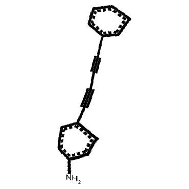 Nc1ccc(C#CC#Cc2ccccc2)cc1